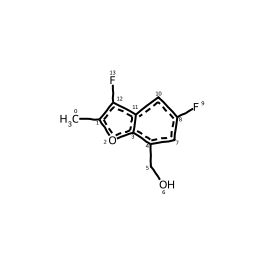 Cc1oc2c(CO)cc(F)cc2c1F